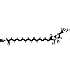 CC(C)(C)OC(=O)CCCCCCCCCCCCCCC(=O)NS(=O)(=O)CCCC(=O)O